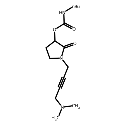 CCCCNC(=O)OC1CCN(CC#CCN(C)C)C1=O